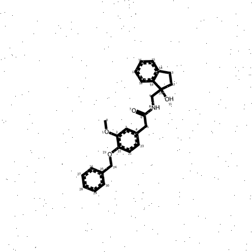 COc1cc(CC(=O)NCC2(O)CCc3ccccc32)ccc1OCc1ccccc1